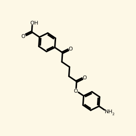 Nc1ccc(OC(=O)CCCC(=O)c2ccc(C(=O)O)cc2)cc1